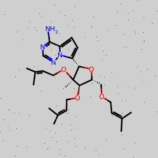 CC(C)=CCOC[C@H]1O[C@@H](c2ccc3c(N)ncnn23)[C@](C)(OCC=C(C)C)[C@@H]1OCC=C(C)C